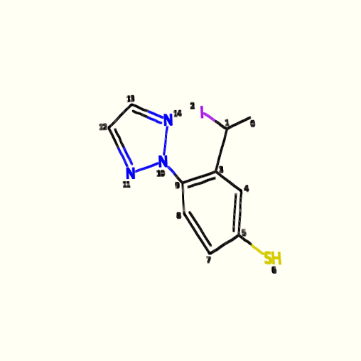 CC(I)c1cc(S)ccc1-n1nccn1